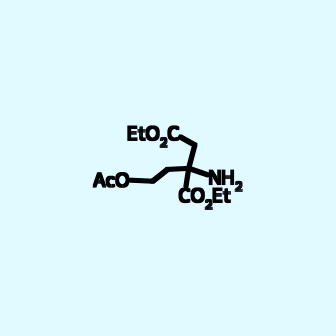 CCOC(=O)CC(N)(CCOC(C)=O)C(=O)OCC